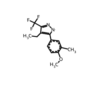 CCC1=C(c2ccc(OC)c(C)c2)[N]N=C1C(F)(F)F